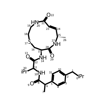 CC(C)Cc1ccc(C(C)C(=O)NC(C(=O)N[C@H]2CSCCNC(=O)/C=C/[C@H](C)NC2=O)C(C)C)cc1